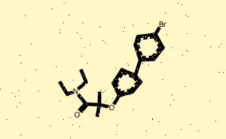 CCN(CC)C(=O)C(C)(C)Oc1ccc(-c2ccc(Br)cc2)cc1